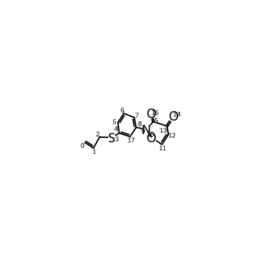 C=CCSc1cccc(-n2occc(=O)c2=O)c1